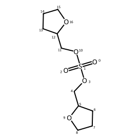 O=S(=O)(OCC1CCCO1)OCC1CCCO1